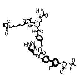 CC(=O)NC[C@H]1CN(c2ccc(-c3ccc(CN(Cc4c[nH]nn4)C(=O)OCc4ccc(NC(=O)[C@H](CCCNC(N)=O)NC(=O)C(NC(=O)CCCCCN5C(=O)C=CC5=O)C(C)C)cc4)cc3)c(F)c2)C(=O)O1